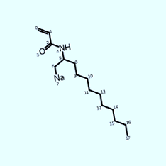 C=CC(=O)NC([CH2][Na])CCCCCCCCCC